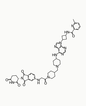 Cc1cccc(C(=O)NC2CC(n3cnc4c(NC5CCN(CC6CCN(C(=O)CNc7ccc8c(c7)C(=O)N([C@H]7CCC(=O)NC7=O)C8=O)CC6)CC5)ncnc43)C2)n1